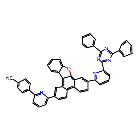 N#Cc1ccc(-c2cccc(-c3ccc4c5ccc(-c6cccc(-c7nc(-c8ccccc8)nc(-c8ccccc8)n7)n6)cc5c5oc6ccccc6c5c4c3)n2)cc1